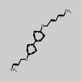 C/C=C/C=C/COc1ccc(-c2ccc(OC/C=C/C)cc2)cc1